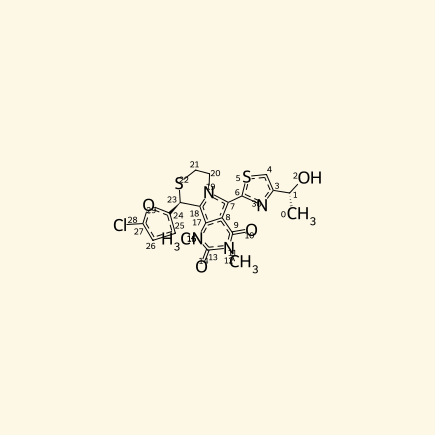 C[C@@H](O)c1csc(-c2c3c(=O)n(C)c(=O)n(C)c3c3n2CCS[C@@H]3c2ccc(Cl)o2)n1